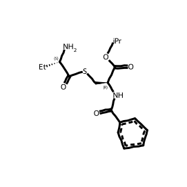 CC[C@H](N)C(=O)SC[C@H](NC(=O)c1ccccc1)C(=O)OC(C)C